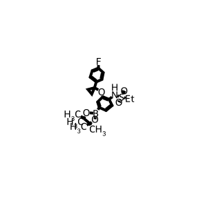 CCS(=O)(=O)Nc1ccc(B2OC(C)(C)C(C)(C)O2)cc1OC1(c2ccc(F)cc2)CC1